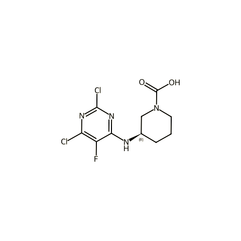 O=C(O)N1CCC[C@@H](Nc2nc(Cl)nc(Cl)c2F)C1